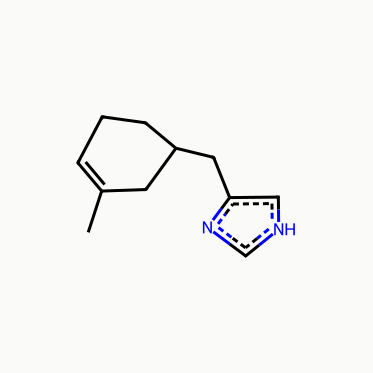 CC1=CCCC(Cc2c[nH]cn2)C1